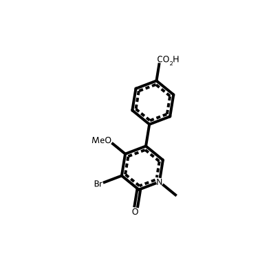 COc1c(-c2ccc(C(=O)O)cc2)cn(C)c(=O)c1Br